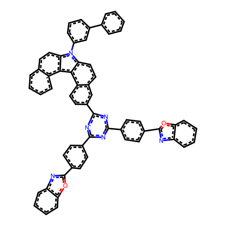 c1ccc(-c2cccc(-n3c4ccc5ccccc5c4c4c5ccc(-c6nc(-c7ccc(-c8nc9ccccc9o8)cc7)nc(-c7ccc(-c8nc9ccccc9o8)cc7)n6)cc5ccc43)c2)cc1